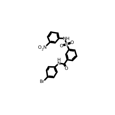 O=C(Nc1ccc(Br)cc1)c1cccc(S(=O)(=O)Nc2cccc([N+](=O)[O-])c2)c1